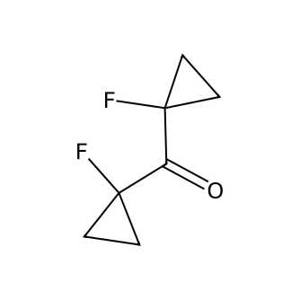 O=C(C1(F)CC1)C1(F)CC1